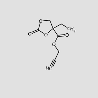 C#CCOC(=O)C1(CC)COC(=O)O1